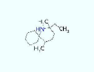 CCC1(C)CCC(C)C2(CCCCC2)N1